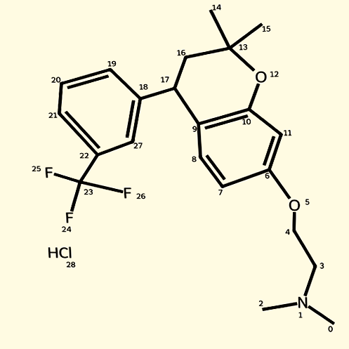 CN(C)CCOc1ccc2c(c1)OC(C)(C)CC2c1cccc(C(F)(F)F)c1.Cl